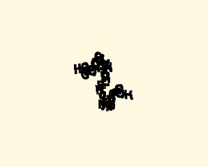 Cc1cc(OC(C)c2sc(-c3ccc(Cl)cc3)nc2C)ccc1OC(C)(C)C(=O)O.Cc1cc(O[C@H](C)c2sc(-c3ccc(C(F)(F)F)cc3)nc2C)ccc1OC(C)(C)C(=O)O